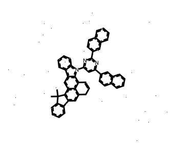 CC1(C)c2ccccc2-c2cc3c4c(c5c(cc4c21)c1ccccc1n5-c1cc(-c2ccc4ccccc4c2)nc(-c2ccc4ccccc4c2)n1)C=CC3